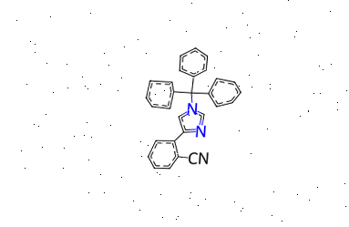 N#Cc1ccccc1-c1cn(C(c2ccccc2)(c2ccccc2)c2ccccc2)cn1